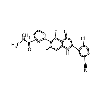 CN(C)C(=O)c1cccc(-c2c(F)cc3[nH]c(-c4cc(C#N)ccc4Cl)cc(=O)c3c2F)n1